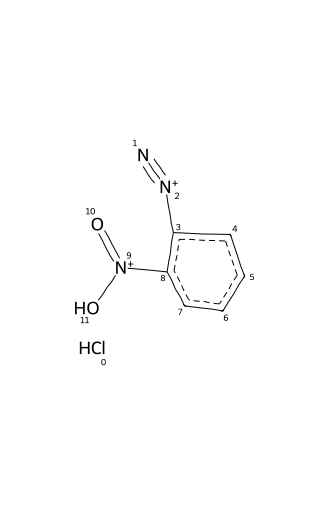 Cl.N#[N+]c1ccccc1[N+](=O)O